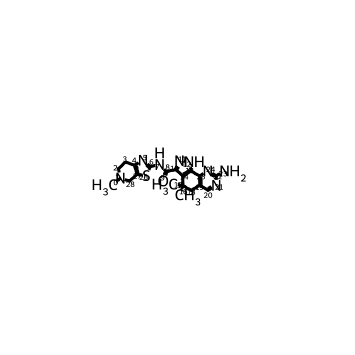 CN1CCc2nc(NC(=O)c3n[nH]c4c3C(C)(C)Cc3cnc(N)nc3-4)sc2C1